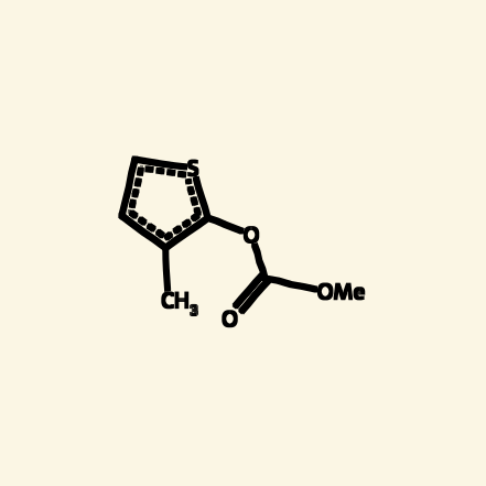 COC(=O)Oc1sccc1C